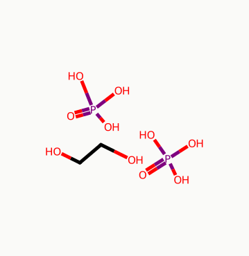 O=P(O)(O)O.O=P(O)(O)O.OCCO